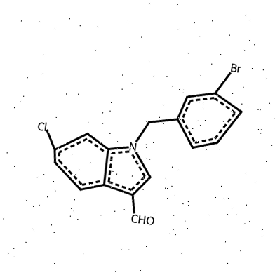 O=Cc1cn(Cc2cccc(Br)c2)c2cc(Cl)ccc12